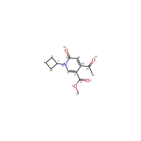 COC(=O)c1cn(C2CCC2)c(=O)cc1C(C)=O